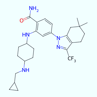 CC1(C)CCc2c(C(F)(F)F)nn(-c3ccc(C(N)=O)c(NC4CCC(NCC5CC5)CC4)c3)c2C1